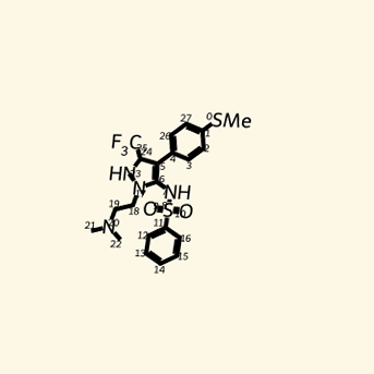 CSc1ccc(C2=C(NS(=O)(=O)c3ccccc3)N(CCN(C)C)NC2C(F)(F)F)cc1